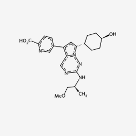 COC[C@H](C)Nc1ncc2c(-c3ccc(C(=O)O)nc3)cc([C@H]3CC[C@H](O)CC3)n2n1